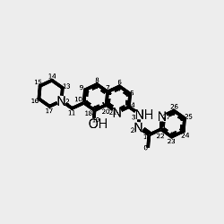 C/C(=N/Nc1ccc2ccc(CN3CCCCC3)c(O)c2n1)c1ccccn1